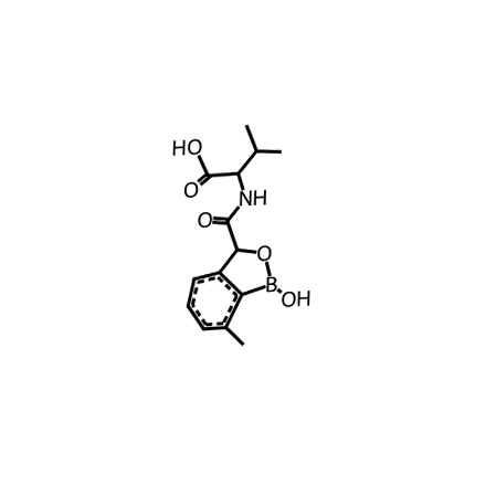 Cc1cccc2c1B(O)OC2C(=O)NC(C(=O)O)C(C)C